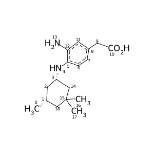 C[C@@H]1C[C@H](Nc2ccc(CC(=O)O)cc2N)CC(C)(C)C1